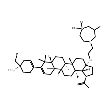 C=C(C)[C@@H]1CC[C@]2(NCCN3CCS(O)(O)CC(C)C3)CC[C@]3(C)[C@H](CC[C@@H]4[C@@]5(C)CC=C(C6=CC[C@@](CF)(C(=O)O)CC6)C(C)(C)[C@@H]5CC[C@]43C)[C@@H]12